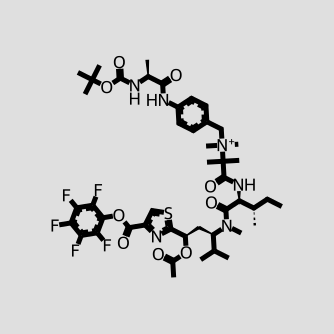 CC[C@H](C)[C@H](NC(=O)C(C)(C)[N+](C)(C)Cc1ccc(NC(=O)[C@H](C)NC(=O)OC(C)(C)C)cc1)C(=O)N(C)[C@H](C[C@@H](OC(C)=O)c1nc(C(=O)Oc2c(F)c(F)c(F)c(F)c2F)cs1)C(C)C